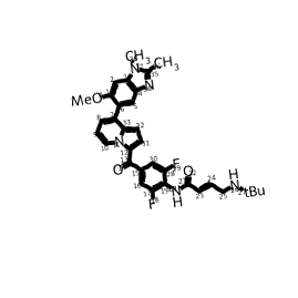 COc1cc2c(cc1-c1cccn3c(C(=O)c4cc(F)c(NC(=O)/C=C/CNC(C)(C)C)c(F)c4)ccc13)nc(C)n2C